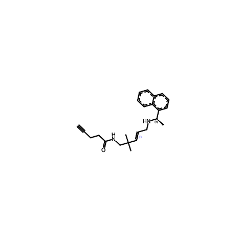 C#CCCC(=O)NCC(C)(C)/C=C/CN[C@H](C)c1cccc2ccccc12